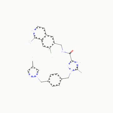 Cc1cnn(Cc2ccc(Cn3nc(C(=O)NCc4cc5ccnc(N)c5cc4F)nc3C)cc2)c1